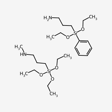 CCO[Si](CCCN)(OCC)c1ccccc1.CCO[Si](CCCNC)(OCC)OCC